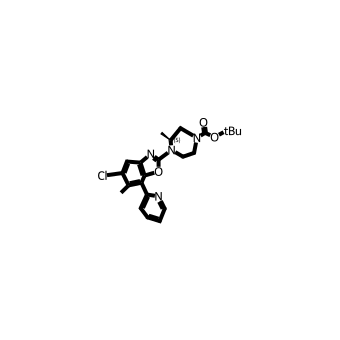 Cc1c(Cl)cc2nc(N3CCN(C(=O)OC(C)(C)C)C[C@@H]3C)oc2c1-c1ccccn1